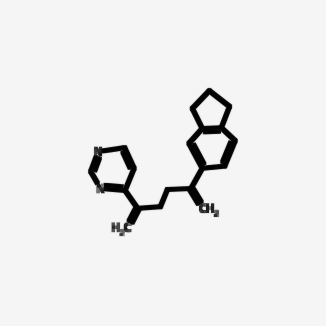 C=C(CCC(=C)c1ccncn1)c1ccc2c(c1)CCC2